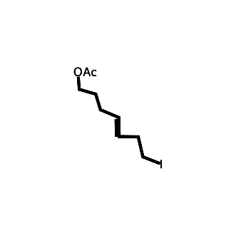 CC(=O)OCCC/C=C/CCI